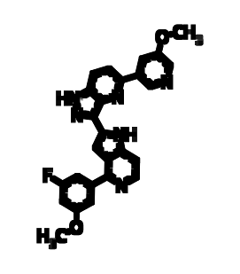 COc1cncc(-c2ccc3[nH]nc(-c4cc5c(-c6cc(F)cc(OC)c6)nccc5[nH]4)c3n2)c1